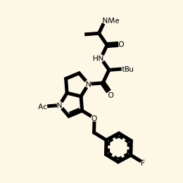 CNC(C)C(=O)NC(C(=O)N1CCC2C1C(OCc1ccc(F)cc1)=CN2C(C)=O)C(C)(C)C